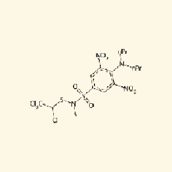 CCCN(CCC)c1c([N+](=O)[O-])cc(S(=O)(=O)N(C)SC(Cl)C(Cl)(Cl)Cl)cc1[N+](=O)[O-]